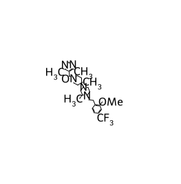 COc1cc(C(F)(F)F)ccc1CCN1CCN(C2(C)CCN(C(=O)c3c(C)ncnc3C)CC2)C[C@@H]1C